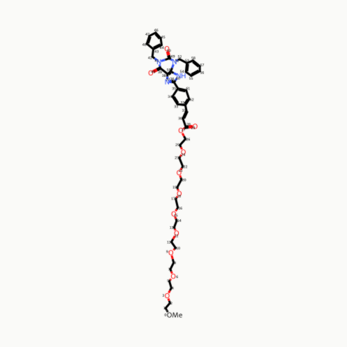 COCCOCCOCCOCCOCCOCCOCCOCCOCCOC(=O)/C=C/c1ccc(-c2nc3c(=O)n(Cc4ccccc4)c(=O)n(Cc4ccccc4)c3[nH]2)cc1